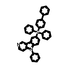 c1ccc(-c2ccc([Si](c3ccccc3)(c3ccccc3)c3ccc4c(c3)c3cnccc3n4-c3ccccc3)cc2)cc1